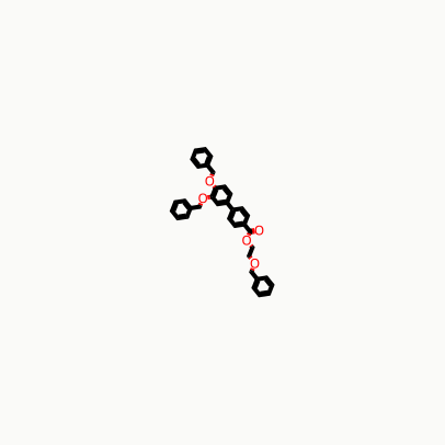 O=C(OCCOCc1ccccc1)c1ccc(-c2ccc(OCc3ccccc3)c(OCc3ccccc3)c2)cc1